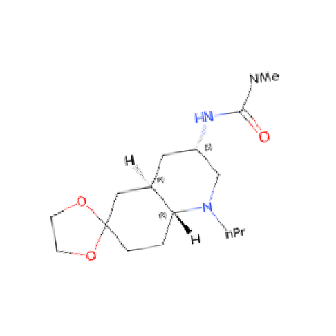 CCCN1C[C@@H](NC(=O)NC)C[C@@H]2CC3(CC[C@H]21)OCCO3